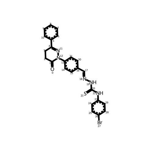 O=C1CCC(c2ccccc2)=NN1c1ccc(C=NNC(=S)Nc2ccc(Br)cc2)cc1